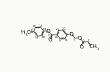 C=CC(=O)OCOc1ccc(C(=O)Oc2ccc(C)cc2)cc1